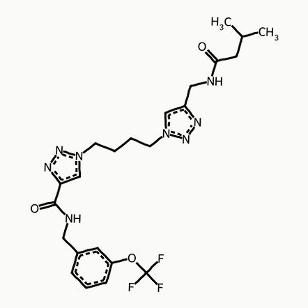 CC(C)CC(=O)NCc1cn(CCCCn2cc(C(=O)NCc3cccc(OC(F)(F)F)c3)nn2)nn1